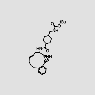 CC(C)(C)OC(=O)NCC1CCC(C(=O)N[C@H]2C/C=C/CCCc3ccccc3-c3c[nH]c2n3)CC1